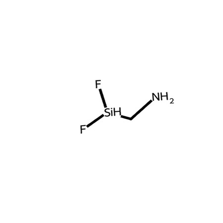 NC[SiH](F)F